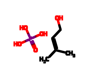 CC(C)=CCO.O=P(O)(O)O